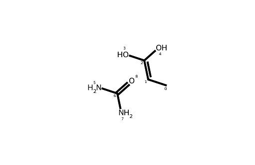 CC=C(O)O.NC(N)=O